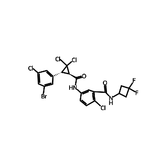 O=C(NC1CC(F)(F)C1)c1cc(NC(=O)[C@H]2[C@H](c3cc(Cl)cc(Br)c3)C2(Cl)Cl)ccc1Cl